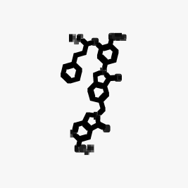 COc1ccc(N2Cc3ccc(CN4Cc5cnc(C(=O)O)cc5C4=O)cc3C2=O)cc1OC(C)CCc1ccccc1